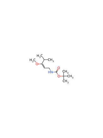 CO/C(=C/CNC(=O)OC(C)(C)C)C(C)C